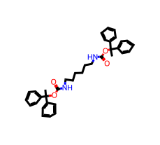 CC(OC(=O)NCCCCCCNC(=O)OC(C)(c1ccccc1)c1ccccc1)(c1ccccc1)c1ccccc1